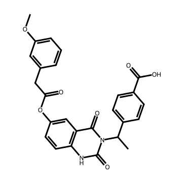 COc1cccc(CC(=O)Oc2ccc3[nH]c(=O)n(C(C)c4ccc(C(=O)O)cc4)c(=O)c3c2)c1